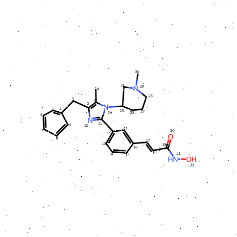 Cc1c(Cc2ccccc2)nc(-c2cccc(C=CC(=O)NO)c2)n1C1CCCN(C)C1